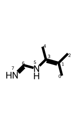 CC(C)=C(C)NC=N